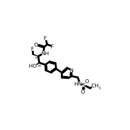 CCS(=O)(=O)NCc1ccc(-c2ccc([C@@H](O)[C@@H](CF)NC(=O)C(F)F)cc2)cn1